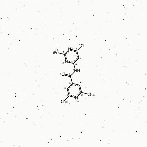 CC(C)c1nc(Cl)cc(NC(=O)c2cc(Cl)nc(Cl)c2)n1